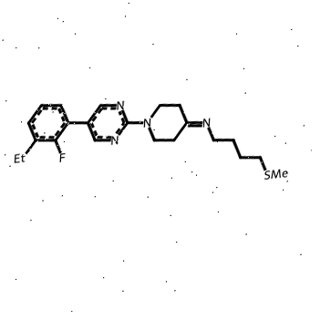 CCc1cccc(-c2cnc(N3CCC(=NCCCCSC)CC3)nc2)c1F